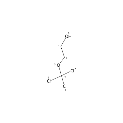 OCCOC(Cl)(Cl)Cl